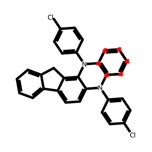 Clc1ccc(N(c2ccccc2)c2ccc3c(c2N(c2ccccc2)c2ccc(Cl)cc2)Cc2ccccc2-3)cc1